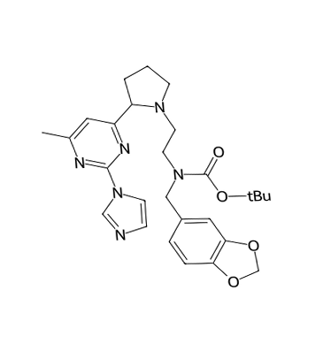 Cc1cc(C2CCCN2CCN(Cc2ccc3c(c2)OCO3)C(=O)OC(C)(C)C)nc(-n2ccnc2)n1